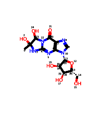 CC1(O)Nc2nc3c(ncn3[C@@H]3O[C@H](CO)[C@@H](O)[C@H]3O)c(=O)n2C1O